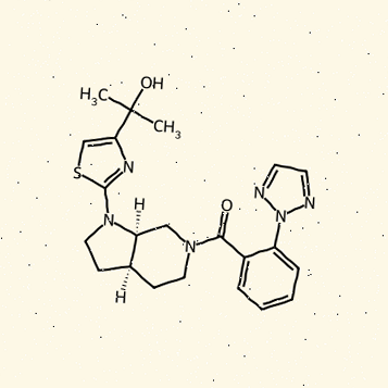 CC(C)(O)c1csc(N2CC[C@@H]3CCN(C(=O)c4ccccc4-n4nccn4)C[C@@H]32)n1